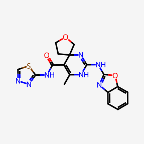 CC1=C(C(=O)Nc2nncs2)C2(CCOC2)N=C(Nc2nc3ccccc3o2)N1